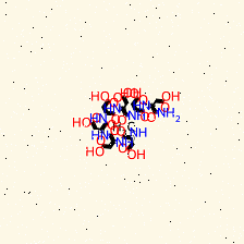 CN[C@@H](CC(=O)O)C(=O)NC(CC(=O)O)C(=O)N[C@@H](CC(=O)O)C(=O)NC(CC(=O)O)C(=O)N[C@@H](CC(=O)O)C(=O)NC(CC(=O)O)C(=O)N[C@@H](CC(=O)O)C(N)=O